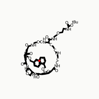 CC(C)(C)OC(=O)NCCOCCNC(=O)C1CCCNCCCNC(=O)C2=CC=C(C(=O)N[C@@H]3COC[C@@H]3NC(=O)c3ccc(c(=O)n3OCc3ccccc3)C(=O)NCCCN1)N(OCc1ccccc1)C2